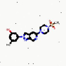 CS(=O)(=O)N1CCN(c2cc3cn(-c4cc(O)cc(C#N)c4)nc3cn2)CC1